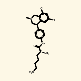 CN1Cc2c(Cl)cc(Cl)cc2C(c2ccc(NC(=O)[C@@H](N)CCCCN)cc2)C1